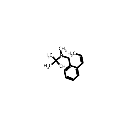 C/C=C\c1ccccc1CN(C)C(C)(C)C